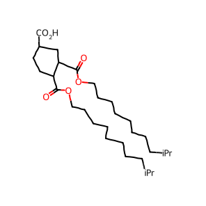 CC(C)CCCCCCCCOC(=O)C1CCC(C(=O)O)CC1C(=O)OCCCCCCCCC(C)C